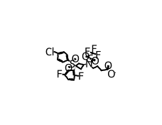 COC(=O)CCCN([C@H]1C[C@@](c2cc(F)ccc2F)(S(=O)(=O)c2ccc(Cl)cc2)C1)S(=O)(=O)C(F)(F)F